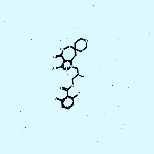 CCc1nn(C[C@@H](C)COC(=O)c2c(F)cccc2F)c2c1C(=O)NCC1(CCOCC1)C2